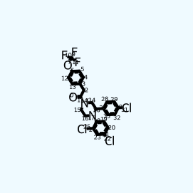 O=C(Cc1ccc(OC(F)(F)F)cc1)N1CCN(c2ccc(Cl)cc2Cl)C(c2ccc(Cl)cc2)C1